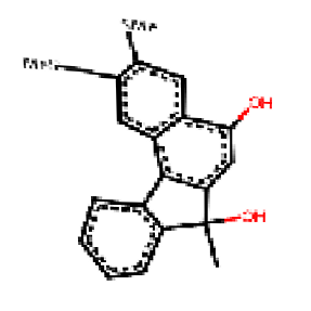 CSc1cc2c(O)cc3c(c2cc1SC)-c1ccccc1C3(C)O